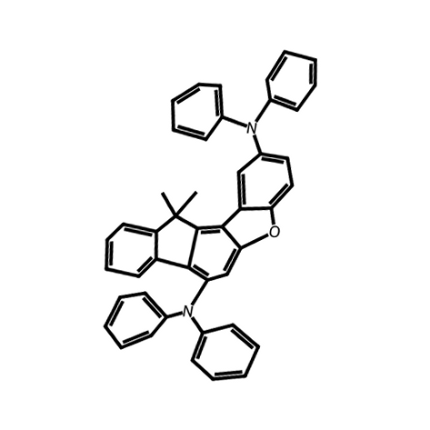 CC1(C)c2ccccc2-c2c(N(c3ccccc3)c3ccccc3)cc3oc4ccc(N(c5ccccc5)c5ccccc5)cc4c3c21